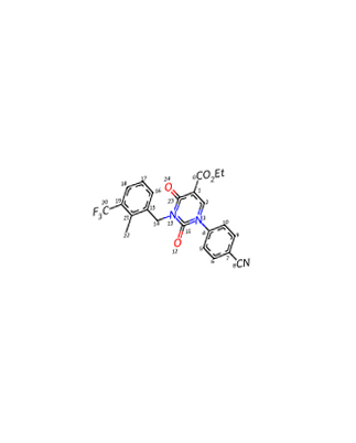 CCOC(=O)c1cn(-c2ccc(C#N)cc2)c(=O)n(Cc2cccc(C(F)(F)F)c2C)c1=O